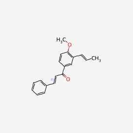 CC=Cc1cc(C(=O)/C=C/c2ccccc2)ccc1OC